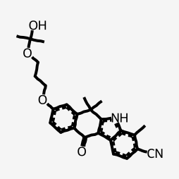 Cc1c(C#N)ccc2c3c([nH]c12)C(C)(C)c1cc(OCCCOC(C)(C)O)ccc1C3=O